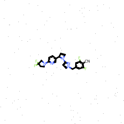 N#Cc1c(F)cc(Cn2ccc(N3C=CC3c3ccc(N4CCC(F)(F)C4)nc3)n2)cc1F